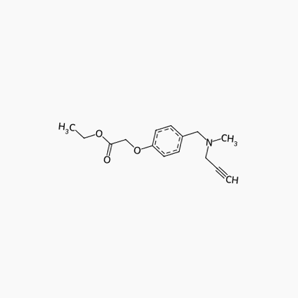 C#CCN(C)Cc1ccc(OCC(=O)OCC)cc1